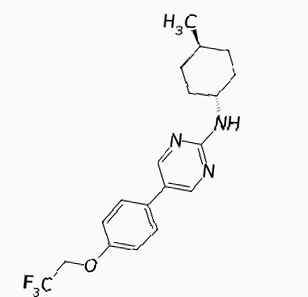 C[C@H]1CC[C@H](Nc2ncc(-c3ccc(OCC(F)(F)F)cc3)cn2)CC1